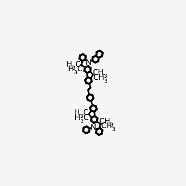 CC1(C)c2cc(/C=C/c3ccc(-c4ccc5c(c4)C(C)(C)c4cc6c(cc4-5)C(C)(C)c4ccccc4N6c4ccccc4)cc3)ccc2-c2cc3c(cc21)N(c1ccc2ccccc2c1)c1ccccc1C3(C)C